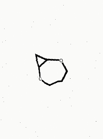 C1COC2CC2OC1